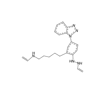 C=CNCCCCCc1cc(-n2nnc3ccccc32)ccc1NNC=C